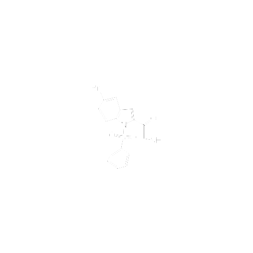 O=C(CS)c1cc2cc(Br)ccc2n1S(=O)(=O)c1ccccc1